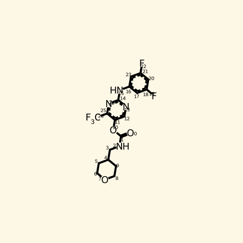 O=C(NCC1CCOCC1)Oc1cnc(Nc2cc(F)cc(F)c2)nc1C(F)(F)F